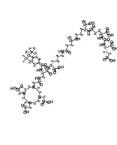 CC(C)(C)S(F)(c1ccc(C(=O)N[C@H](CNC(=O)CN2CCN(CC(=O)O)CCN(CC(=O)O)CCN(CC(=O)O)CC2)C(=O)N[C@H](CCCCNC(=O)CCC(=O)NCCC[C@H](NC(=O)CC[C@H](NC(=O)N[C@@H](CCC(=O)O)C(=O)O)C(=O)O)C(=O)O)C(=O)O)cc1)C(C)(C)C